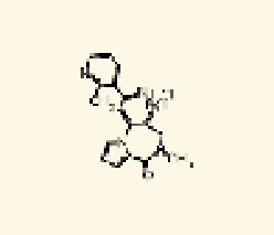 Cc1ncccc1-c1cc2c(nn1)CN(C)C(=O)c1cccn1-2.Cl.Cl